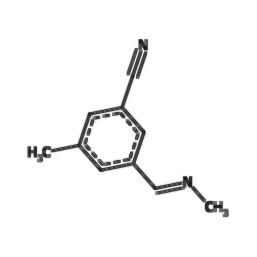 C/N=C/c1cc(C)cc(C#N)c1